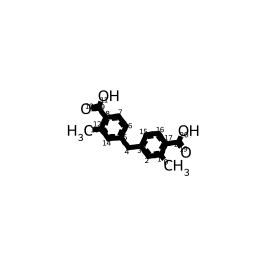 Cc1cc(Cc2ccc(C(=O)O)c(C)c2)ccc1C(=O)O